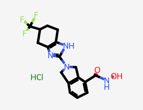 Cl.O=C(NO)c1cccc2c1CN(c1nc3c([nH]1)CCC(C(F)(F)F)C3)C2